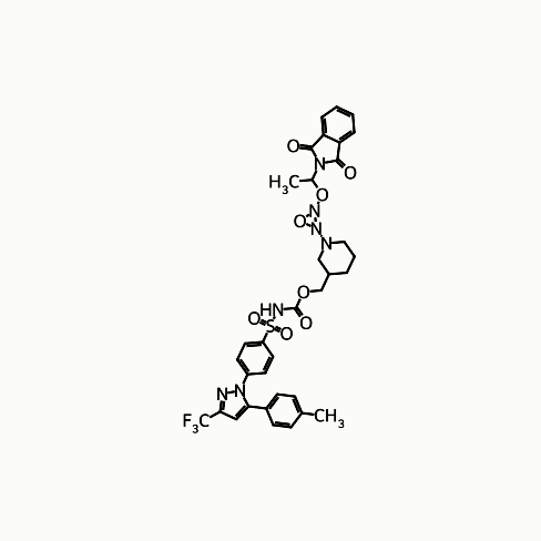 Cc1ccc(-c2cc(C(F)(F)F)nn2-c2ccc(S(=O)(=O)NC(=O)OCC3CCCN(n4on4OC(C)N4C(=O)c5ccccc5C4=O)C3)cc2)cc1